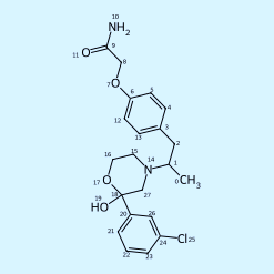 CC(Cc1ccc(OCC(N)=O)cc1)N1CCOC(O)(c2cccc(Cl)c2)C1